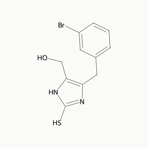 OCc1[nH]c(S)nc1Cc1cccc(Br)c1